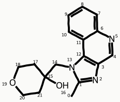 Cc1nc2cnc3ccccc3c2n1CC1(O)CCOCC1